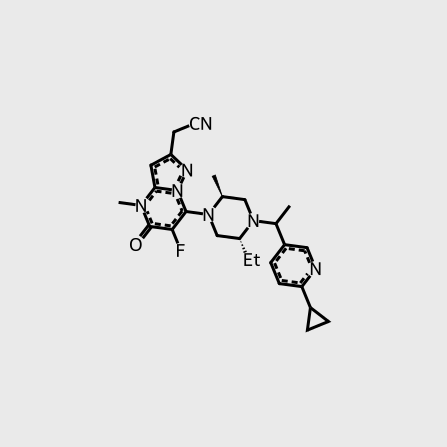 CC[C@@H]1CN(c2c(F)c(=O)n(C)c3cc(CC#N)nn23)[C@@H](C)CN1C(C)c1ccc(C2CC2)nc1